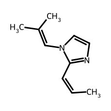 C/C=C\c1nccn1C=C(C)C